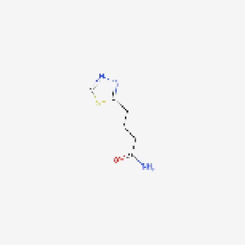 NC(=O)CCCc1nncs1